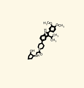 COc1ccc(-c2[nH]c3ccc(C4CCN(C(=O)CNC5CCCC5O)CC4)cc3c2C(C)C)cc1OC